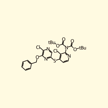 CC(C)(C)OC(=O)N(C(=O)OC(C)(C)C)c1nccc(Sc2cnc(Cl)c(OCc3ccccc3)n2)c1Cl